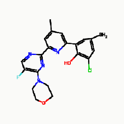 Bc1cc(Cl)c(O)c(-c2cc(C)cc(-c3ncc(F)c(N4CCOCC4)n3)n2)c1